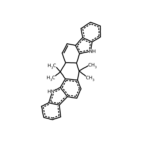 CC1(C)c2c(ccc3c2[nH]c2ccccc23)C(C)(C)C2c3[nH]c4ccccc4c3C=CC21